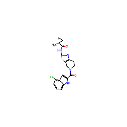 CC1(C(=O)Nc2nc3c(s2)CN(C(=O)c2cc4c(Cl)cccc4[nH]2)CC3)CC1